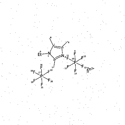 CCn1c(C)nc(C)c1C.F[P-](F)(F)(F)(F)F.F[P-](F)(F)(F)(F)F.[Zn+2]